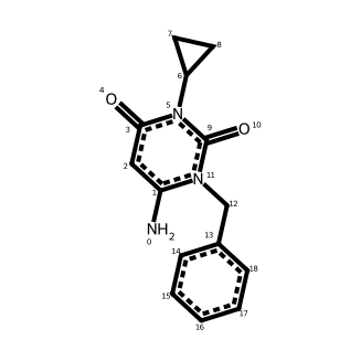 Nc1cc(=O)n(C2CC2)c(=O)n1Cc1ccccc1